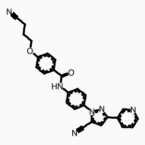 N#CCCCOc1ccc(C(=O)Nc2ccc(-n3nc(-c4cccnc4)cc3C#N)cc2)cc1